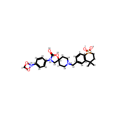 CC1(C)CCS(=O)(=O)c2ccc(CN3CCC4(CC3)CN(c3ccc(N5OCO5)cc3)C(=O)O4)cc21